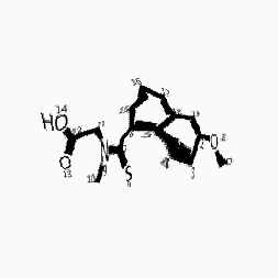 COc1ccc2c(C(=S)N(C)CC(=O)O)cccc2c1